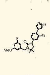 CCc1cc(N2CC(C)(C)N(Cc3cc(F)cc(OC)c3)C2=O)ccc1-c1cn[nH]c1